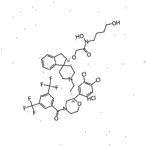 Cl.O=C(CO[C@H]1Cc2ccccc2C12CCN(CC[C@@]1(c3ccc(Cl)c(Cl)c3)CN(C(=O)c3cc(C(F)(F)F)cc(C(F)(F)F)c3)CCO1)CC2)N(O)CCCCO